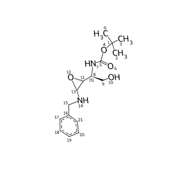 CC(C)(C)OC(=O)N[C@@H](CO)C1OC1NCc1ccccc1